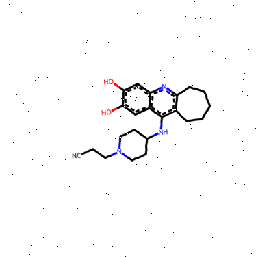 N#CCCN1CCC(Nc2c3c(nc4cc(O)c(O)cc24)CCCCC3)CC1